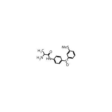 CSc1cccc([S+]([O-])c2ccc(NC(=O)C(C)N)cc2)c1